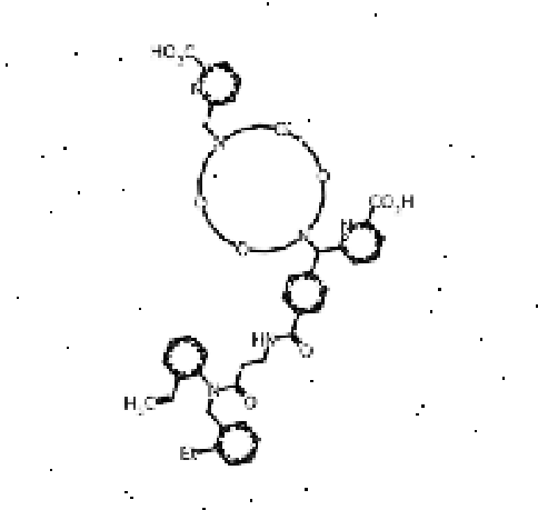 C=Cc1ccccc1N(Cc1ccccc1CC)C(=O)CCNC(=O)c1ccc(C(c2cccc(C(=O)O)n2)N2CCOCCOCCN(Cc3cccc(C(=O)O)n3)CCOCCOCC2)cc1